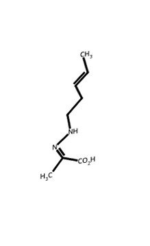 C/C=C/CCN/N=C(/C)C(=O)O